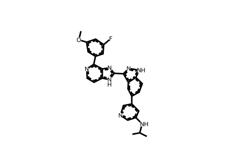 COc1cc(F)cc(-c2nccc3[nH]c(-c4n[nH]c5ccc(-c6cncc(NC(C)C)c6)cc45)nc23)c1